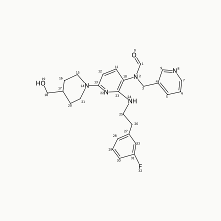 O=CN(Cc1cccnc1)c1ccc(N2CCC(CO)CC2)nc1NCCc1cccc(F)c1